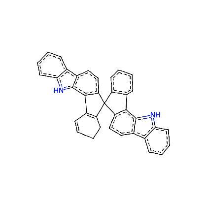 C1=CC2=C(CC1)C1(c3ccccc3-c3c1ccc1c3[nH]c3ccccc31)c1ccc3c([nH]c4ccccc43)c12